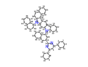 c1ccc(-c2cc(-c3ccccc3)nc(-c3cc(-n4c5ccccc5c5cc6c7c8ccccc8ccc7n(-c7cccc8ccccc78)c6cc54)c4ccccc4c3)n2)cc1